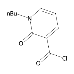 CCCCn1cccc(C(=O)Cl)c1=O